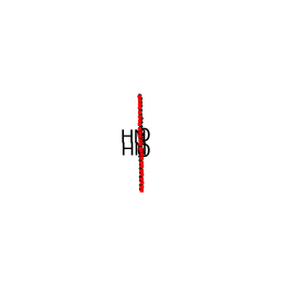 CCCCCCCCCCCCCCCCCCCCC(=O)NCCCCCNC(=O)CCCCCCCCCCCCCCCCCCCC